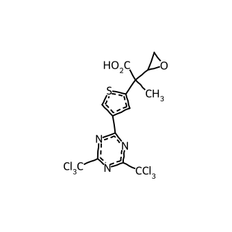 CC(C(=O)O)(c1cc(-c2nc(C(Cl)(Cl)Cl)nc(C(Cl)(Cl)Cl)n2)cs1)C1CO1